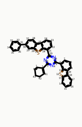 C1=CC(c2nc(-c3cccc4c3sc3ccccc34)nc(-c3cccc4c3sc3cc(-c5ccccc5)ccc34)n2)=CCC1